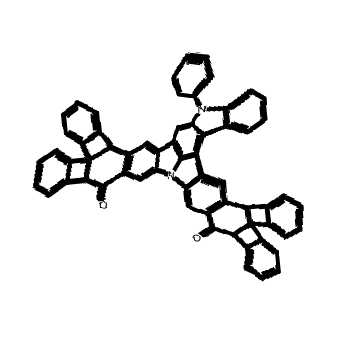 O=C1c2cc3c(cc2C2c4ccccc4C24c2ccccc2C14)c1cc2c(c4ccccc4n2-c2ccccc2)c2c4cc5c(cc4n3c12)C(=O)C1c2ccccc2C12c1ccccc1C52